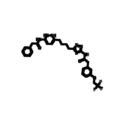 O=C(Cc1ccccc1)NC1=CC=C(CCCCc2nnc(NC(=O)Cc3cccc(OCC(F)(F)F)c3)s2)NN1